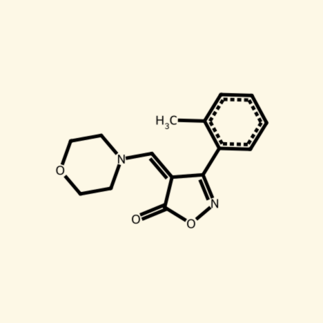 Cc1ccccc1C1=NOC(=O)C1=CN1CCOCC1